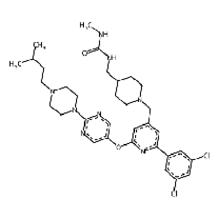 CNC(=O)NCC1CCN(Cc2cc(Oc3cnc(N4CCN(CCC(C)C)CC4)nc3)nc(-c3cc(Cl)cc(Cl)c3)c2)CC1